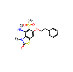 CCCS(=O)(=O)c1c(OCCc2ccccc2)cc2sc(=O)n(CC)c2c1NCC